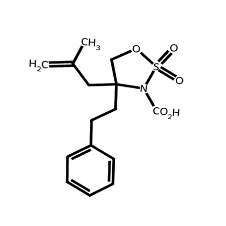 C=C(C)CC1(CCc2ccccc2)COS(=O)(=O)N1C(=O)O